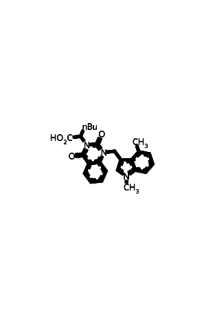 CCCCC(C(=O)O)n1c(=O)c2ccccc2n(Cc2cn(C)c3cccc(C)c23)c1=O